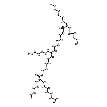 CCCCCCCCC(CCCCCC)C(=O)OCCCCCCN(CCCCCCOC(=O)C(CCCCCC)CCCCCCCC)CCOCCO